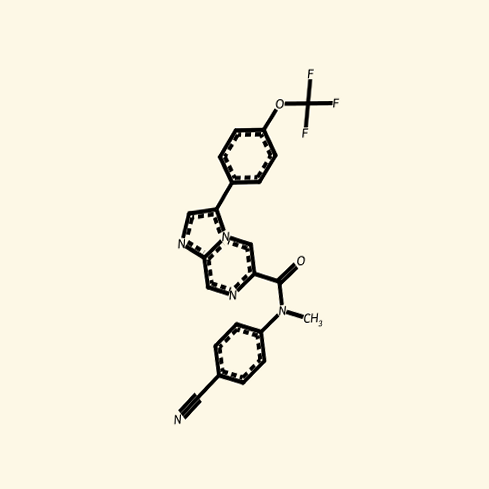 CN(C(=O)c1cn2c(-c3ccc(OC(F)(F)F)cc3)cnc2cn1)c1ccc(C#N)cc1